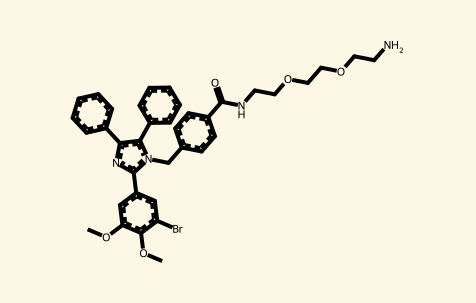 COc1cc(-c2nc(-c3ccccc3)c(-c3ccccc3)n2Cc2ccc(C(=O)NCCOCCOCCN)cc2)cc(Br)c1OC